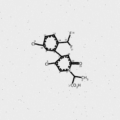 CC(C(=O)O)n1cc(Cl)c(-c2cc(Cl)ccc2C(F)F)cc1=O